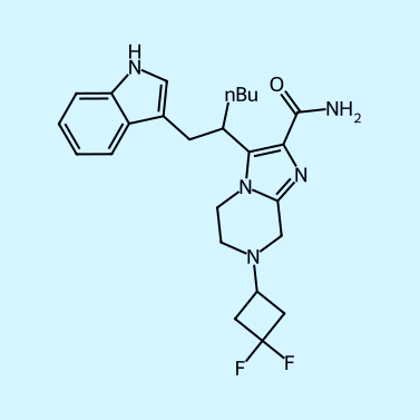 CCCCC(Cc1c[nH]c2ccccc12)c1c(C(N)=O)nc2n1CCN(C1CC(F)(F)C1)C2